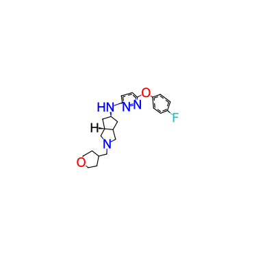 Fc1ccc(Oc2ccc(N[C@H]3CC4CN(CC5CCOCC5)C[C@@H]4C3)nn2)cc1